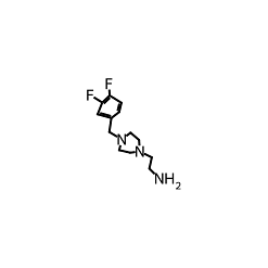 NCCN1CCN(Cc2ccc(F)c(F)c2)CC1